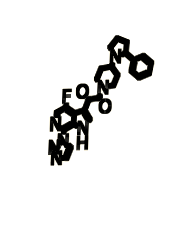 O=C(C(=O)N1CCC(N2CCCC2c2ccccc2)CC1)c1c[nH]c2c(-n3ccnn3)ncc(F)c12